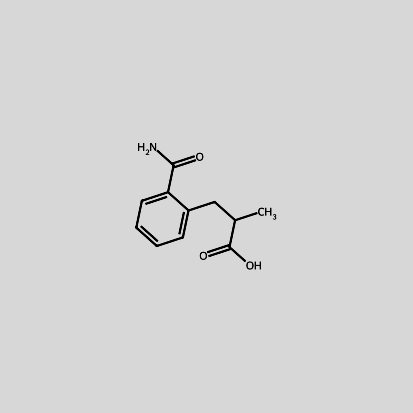 CC(Cc1ccccc1C(N)=O)C(=O)O